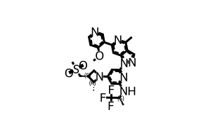 COc1ccncc1-c1cc2c(cnn2-c2cc(N3C[C@H](CS(C)(=O)=O)[C@H]3C)cc(N[C@@H](C)C(F)(F)F)n2)c(C)n1